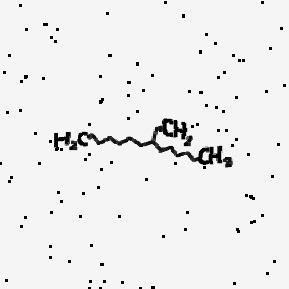 C=CCCCCCC(C=C)CCCCCC